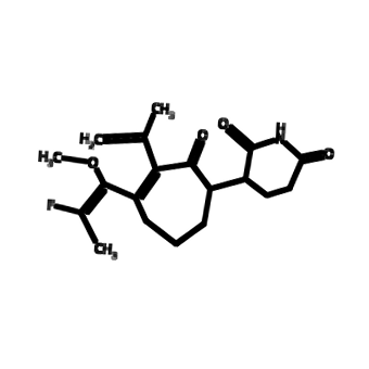 C=C(C)C1=C(/C(OC)=C(\C)F)CCCC(C2CCC(=O)NC2=O)C1=O